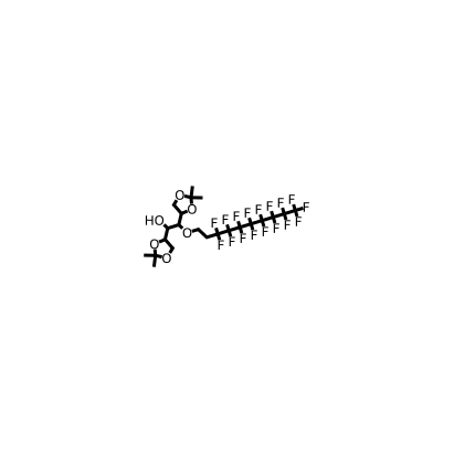 CC1(C)OCC(C(O)C(OCCC(F)(F)C(F)(F)C(F)(F)C(F)(F)C(F)(F)C(F)(F)C(F)(F)C(F)(F)F)C2COC(C)(C)O2)O1